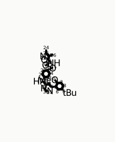 COc1ccc(C(C)(C)C)cc1-c1cc(Nc2ccc(S(=O)(=O)Nc3onc(C)c3C)cc2)ncn1